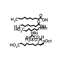 CC(=O)O.CCCCC(CC)C(=O)O.CCCCCCCC(=O)O.CCCCCCCC/C=C\CCCCCCCC(=O)O.CCCCCCCCCC(=O)O.CCCCCCCCCCCCCCCC(=O)O